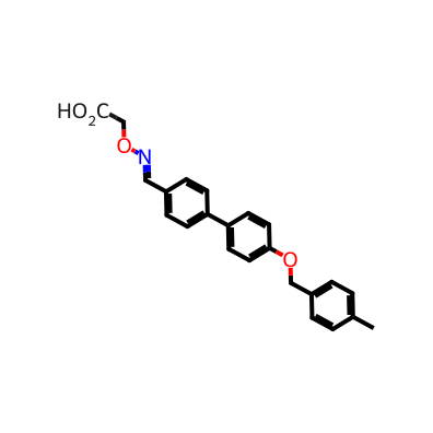 Cc1ccc(COc2ccc(-c3ccc(C=NOCC(=O)O)cc3)cc2)cc1